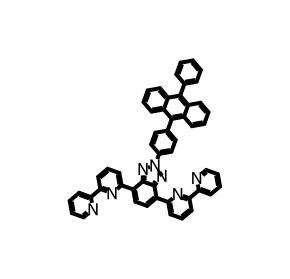 c1ccc(-c2c3ccccc3c(-c3ccc(-n4nc5c(-c6cccc(-c7ccccn7)n6)ccc(-c6cccc(-c7ccccn7)n6)c5n4)cc3)c3ccccc23)cc1